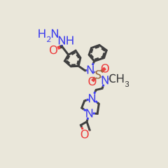 CN(CCN1CCN(C2COC2)CC1)S(=O)(=O)N(Cc1ccc(C(=O)NN)cc1)c1ccccc1